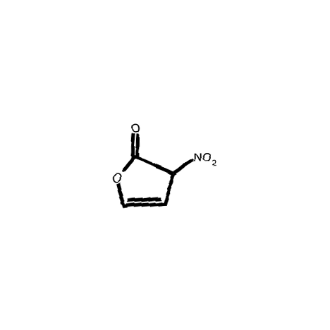 O=C1OC=CC1[N+](=O)[O-]